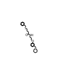 O=C(CCCSCc1ccccc1)NCCCOc1cccc(CN2CCCCC2)c1